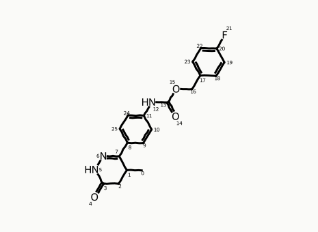 CC1CC(=O)NN=C1c1ccc(NC(=O)OCc2ccc(F)cc2)cc1